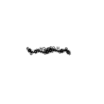 O=C(/C=C/c1ccc(OCCCCCCOc2ccc(-c3ccc(OCCCCCCOc4ccc(/C=C/C(=O)c5ccc(F)cc5)cc4)c(C(=O)O)c3C(=O)O)c(C(=O)O)c2C(=O)O)cc1)c1ccc(F)cc1